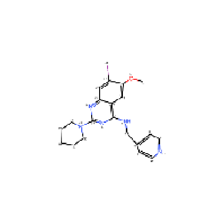 COc1cc2c(NCc3ccncc3)nc(N3CCCCC3)nc2cc1I